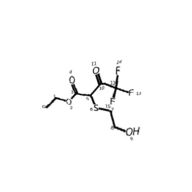 CCOC(=O)C(SCCO)C(=O)C(F)(F)F